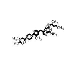 CCC[C@H](C)Nc1nc(N)c2ncc(Cc3cnc(N4CCN(C(=O)CN(C)C(=O)O)CC4)c(C)c3)n2n1